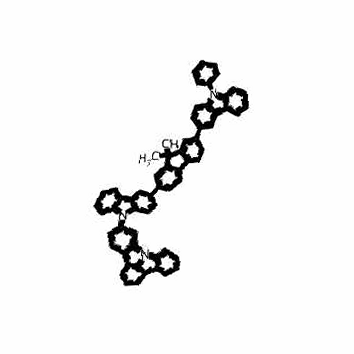 CC1(C)c2cc(-c3ccc4c(c3)c3ccccc3n4-c3ccccc3)ccc2-c2ccc(-c3ccc4c(c3)c3ccccc3n4-c3ccc4c5cccc6c7ccccc7n(c4c3)c65)cc21